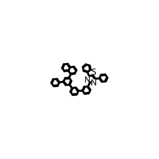 c1ccc(-c2cc(-c3cccc(-c4cccc(-c5nc(-c6ccccc6)c6sc7ccccc7c6n5)c4)c3)cc(-c3cccc4ccccc34)c2)cc1